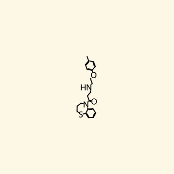 Cc1ccc(OCCNCCC(=O)N2CCCSc3ccccc32)cc1